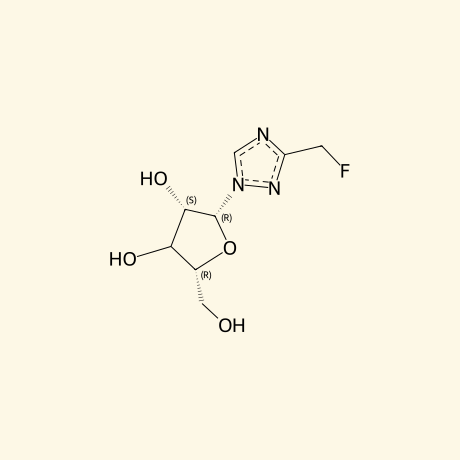 OC[C@H]1O[C@@H](n2cnc(CF)n2)[C@@H](O)C1O